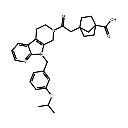 CC(C)Oc1cccc(Cn2c3c(c4cccnc42)CCN(C(=O)CC24CCC(C(=O)O)(CC2)C4)C3)c1